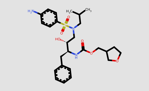 CC(C)CN(C[C@@H](O)[C@H](Cc1ccccc1)NC(=O)OCC1CCOC1)S(=O)(=O)c1ccc(N)cc1